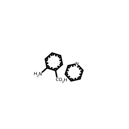 Nc1ccccc1C(=O)O.c1ccncc1